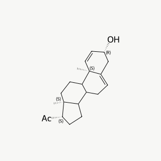 CC(=O)[C@H]1CCC2C3CC=C4C[C@@H](O)C=C[C@]4(C)C3CC[C@@]21C